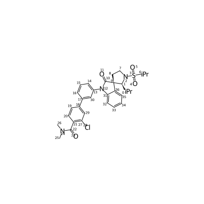 CC(C)[C@@H]1N(S(=O)(=O)C(C)C)CC[C@@]12C(=O)N(c1cccc(-c3ccc(C(=O)N(C)C)c(Cl)c3)c1)c1ccccc12